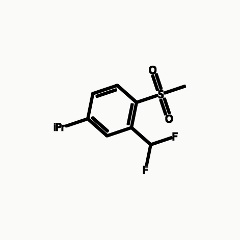 CC(C)c1ccc(S(C)(=O)=O)c(C(F)F)c1